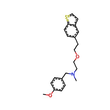 COc1ccc(CN(C)CCOCCc2ccc3sccc3c2)cc1